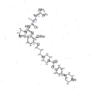 C=N/C(N)=N\C=C(/C)C(=O)NC1=Nc2c(ccc(OCCCN3CCN(C(=O)Oc4ccc(N5CCNCC5)cc4)CC3)c2OC)C2=NCCN12